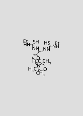 CCN/C(S)=N/N=C(/C=N/N=C(\S)NCC)c1ccc(CN2C(C)(C)COCC2(C)C)o1